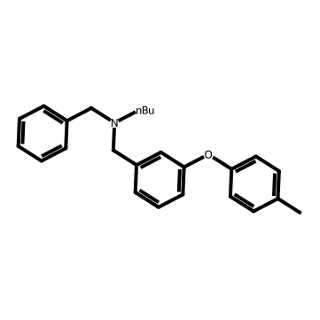 CCCCN(Cc1ccccc1)Cc1cccc(Oc2ccc(C)cc2)c1